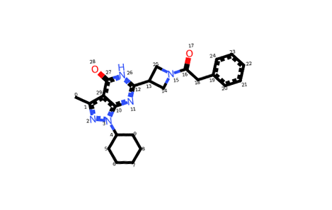 Cc1nn(C2CCCCC2)c2nc(C3CN(C(=O)Cc4ccccc4)C3)[nH]c(=O)c12